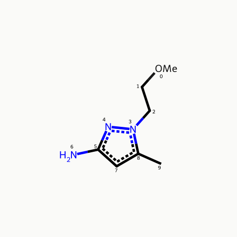 COCCn1nc(N)cc1C